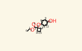 CCOC(=O)C1(Oc2ccc(O)cc2)CCC1